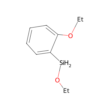 CCO[SiH2]c1ccccc1OCC